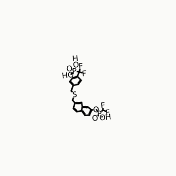 O=P(O)(Oc1ccc2ccc(CSCc3ccc(C(F)(F)P(=O)(O)O)cc3)cc2c1)C(F)F